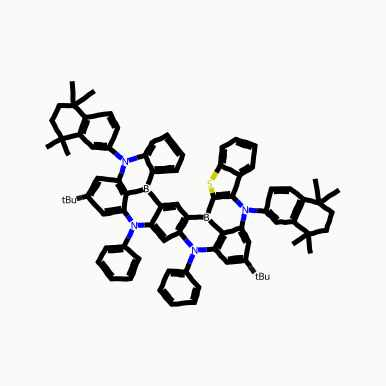 CC(C)(C)c1cc2c3c(c1)N(c1ccccc1)c1cc4c(cc1B3c1ccccc1N2c1ccc2c(c1)C(C)(C)CCC2(C)C)B1c2sc3ccccc3c2N(c2ccc3c(c2)C(C)(C)CCC3(C)C)c2cc(C(C)(C)C)cc(c21)N4c1ccccc1